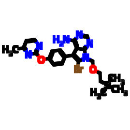 Cc1ccnc(Oc2ccc(-c3c(Br)n(COCC[Si](C)(C)C)c4ncnc(N)c34)cc2)n1